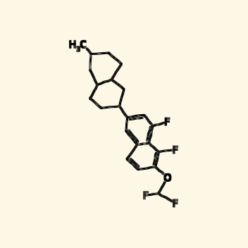 CC1CCC2CC(c3cc(F)c4c(F)c(OC(F)F)ccc4c3)CCC2C1